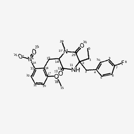 CCC1(Cc2ccc(F)cc2)NC(=O)C(Cc2c(OC)cccc2[N+](=O)[O-])N(C)C1=O